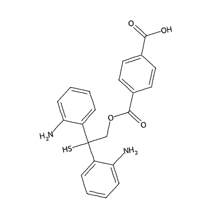 Nc1ccccc1C(S)(COC(=O)c1ccc(C(=O)O)cc1)c1ccccc1N